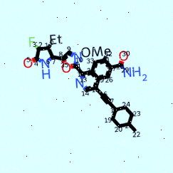 CCC1C(F)C(=O)NC1c1cnc(-c2ncc(C#CC3CCC(C)CC3)c3cc(C(N)=O)c(OC)cc23)o1